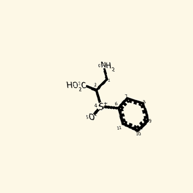 NCC(C(=O)O)[S+]([O-])c1ccccc1